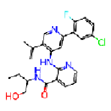 C=C(C)c1cnc(-c2cc(Cl)ccc2F)cc1Nc1ncccc1C(=O)NC(CC)CO